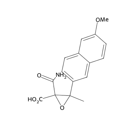 COc1ccc2cc(C3(C)OC3(C(N)=O)C(=O)O)ccc2c1